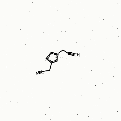 C#CCn1ccc(CC#N)c1